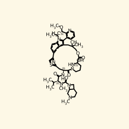 CCn1c(-c2cccnc2[C@H](C)OC)c2c3cc(ccc31)-c1csc(n1)C[C@H](NC(=O)[C@H](C(C)C)N(C)C(=O)N1CC3CCN(C)CC31)C(=O)N1CCC[C@@](O)(N1)C(=O)OCC(C)(C)C2